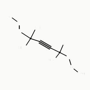 CCC(C)(C#CC(C)(C)OOC(C)(C)C)OOC(C)(C)C